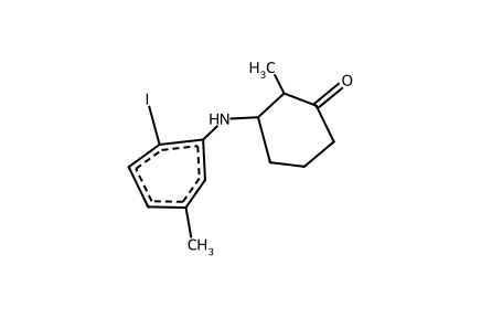 Cc1ccc(I)c(NC2CCCC(=O)C2C)c1